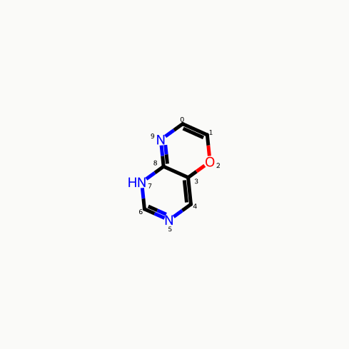 C1=COC2=CN=CNC2=N1